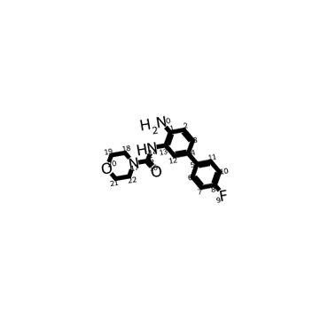 Nc1ccc(-c2ccc(F)cc2)cc1NC(=O)N1CCOCC1